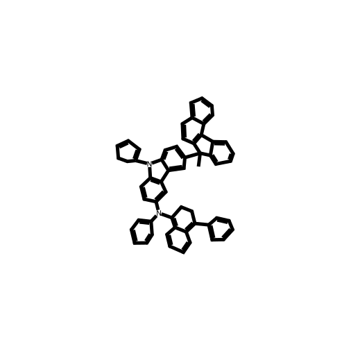 CC1(c2ccc3c(c2)c2cc(N(C4=c5ccccc5=C(c5ccccc5)CC4)c4ccccc4)ccc2n3C2=CC=CCC2)c2ccccc2-c2c1ccc1ccccc21